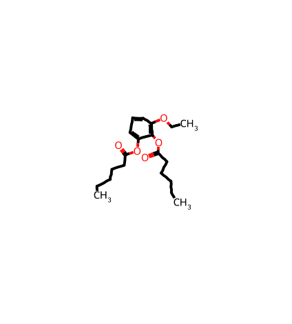 CCCCCC(=O)Oc1cccc(OCC)c1OC(=O)CCCCC